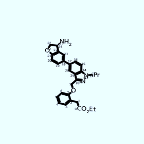 CCOC(=O)Cc1ccccc1OCc1nn(C(C)C)c2ccc(-c3ccc4c(c3)[C@H](N)CO4)cc12